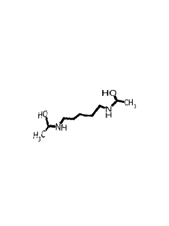 CC(O)NCCCCCNC(C)O